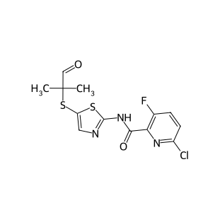 CC(C)(C=O)Sc1cnc(NC(=O)c2nc(Cl)ccc2F)s1